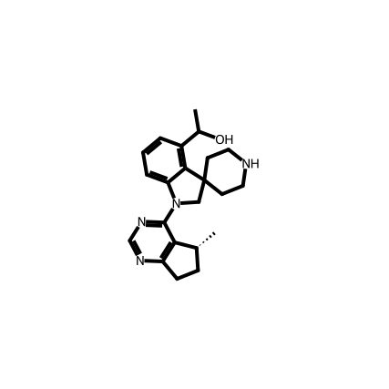 CC(O)c1cccc2c1C1(CCNCC1)CN2c1ncnc2c1[C@H](C)CC2